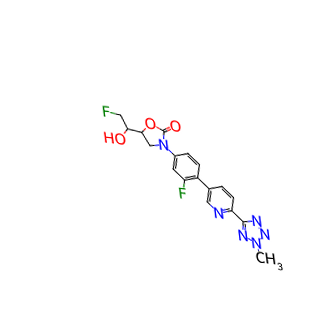 Cn1nnc(-c2ccc(-c3ccc(N4CC(C(O)CF)OC4=O)cc3F)cn2)n1